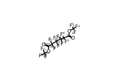 O=C(OC(F)(F)F)C(F)(F)C(F)(F)C(F)(F)C(F)(F)C(=O)OC(F)(F)F